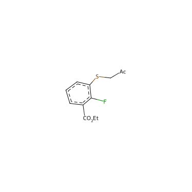 CCOC(=O)c1cccc(SCC(C)=O)c1F